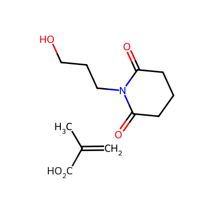 C=C(C)C(=O)O.O=C1CCCC(=O)N1CCCO